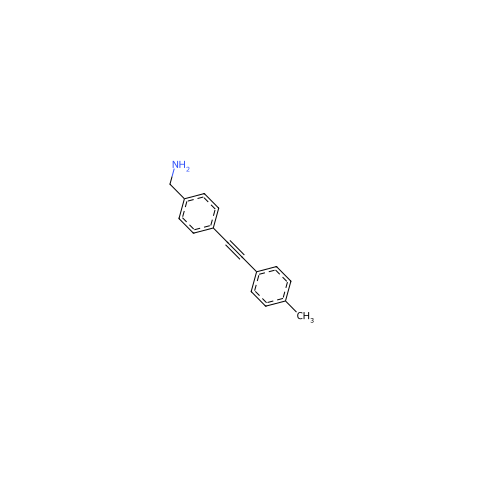 Cc1ccc(C#Cc2ccc(CN)cc2)cc1